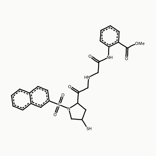 COC(=O)c1ccccc1NC(=O)CNCC(=O)C1CC(S)CN1S(=O)(=O)c1ccc2ccccc2c1